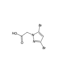 O=C(O)Cn1nc(Br)cc1Br